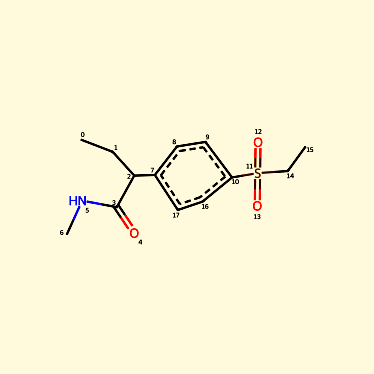 CCC(C(=O)NC)c1ccc(S(=O)(=O)CC)cc1